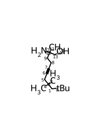 CC(C)(C)CC(C)(C)CC#CCCC(C)(N)CO